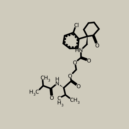 CC(C)C(=O)N[C@H](C(=O)OCOC(=O)NC[C@@]1(c2ccccc2Cl)CCCCC1=O)C(C)C